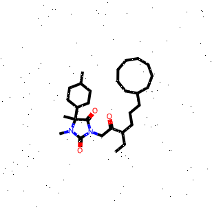 CCC(CCCC1CCCCCCCC1)C(=O)CN1C(=O)N(C)C(C)(C2CCC(C)CC2)C1=O